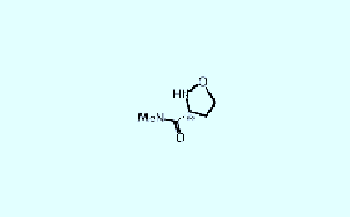 CNC(=O)[C@H]1CCON1